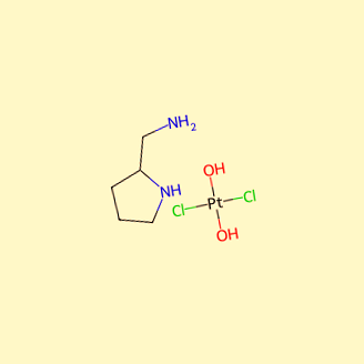 NCC1CCCN1.[OH][Pt]([OH])([Cl])[Cl]